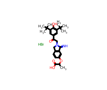 Br.CC(Oc1ccc2c(c1)C(=N)N(CC(=O)c1cc(C(C)(C)C)c(O)c(C(C)(C)C)c1)C2)C(=O)O